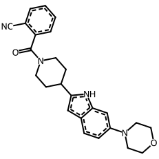 N#Cc1ccccc1C(=O)N1CCC(c2cc3ccc(N4CCOCC4)cc3[nH]2)CC1